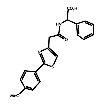 COc1ccc(-c2nc(CC(=O)NC(C(=O)O)c3ccccc3)cs2)cc1